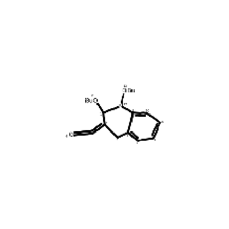 CC(C)COC1C(=C=O)Cc2ccccc2N1OCC(C)C